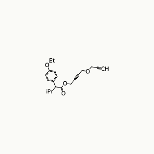 C#CCOCC#CCOC(=O)C(c1ccc(OCC)cc1)C(C)C